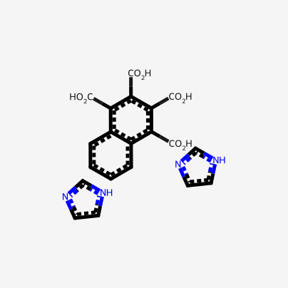 O=C(O)c1c(C(=O)O)c(C(=O)O)c2ccccc2c1C(=O)O.c1c[nH]cn1.c1c[nH]cn1